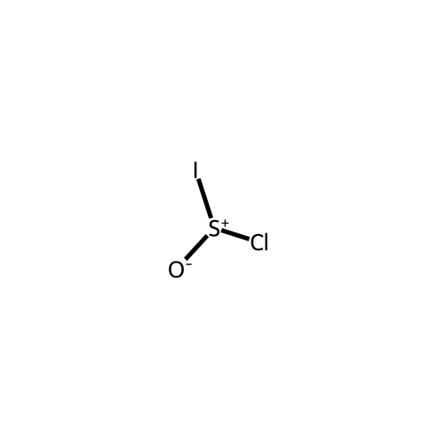 [O-][S+](Cl)I